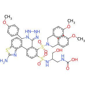 COc1ccc(CN2NNN=C2c2c(-c3cccc4sc(N)nc34)ccc(S(=O)(=O)NC(CO)CNC(=O)O)c2S(=O)(=O)N(Cc2ccc(OC)cc2)Cc2ccc(OC)cc2)cc1